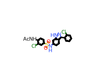 CC(=O)Nc1ccc(S(=O)(=O)Nc2ccc3c(-c4ccccc4Cl)n[nH]c3c2)cc1Cl